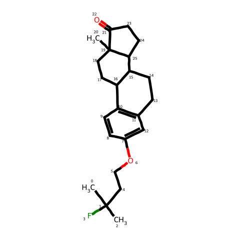 CC(C)(F)CCOc1ccc2c(c1)CCC1C2CCC2(C)C(=O)CCC12